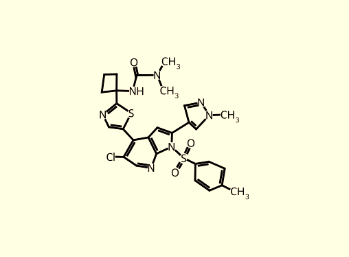 Cc1ccc(S(=O)(=O)n2c(-c3cnn(C)c3)cc3c(-c4cnc(C5(NC(=O)N(C)C)CCC5)s4)c(Cl)cnc32)cc1